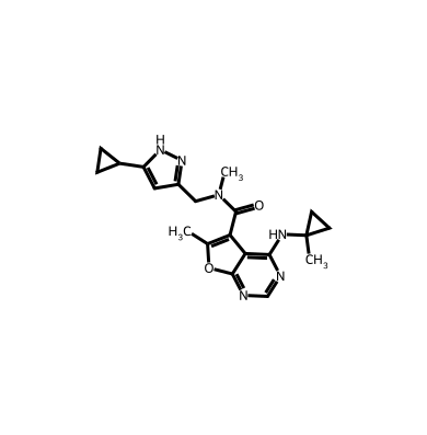 Cc1oc2ncnc(NC3(C)CC3)c2c1C(=O)N(C)Cc1cc(C2CC2)[nH]n1